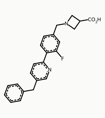 O=C(O)C1CN(Cc2ccc(-c3ccc(Cc4ccccc4)cn3)c(F)c2)C1